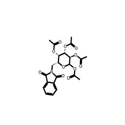 CC(=O)OC1O[C@H](CN2C(=O)c3ccccc3C2=O)[C@H](OC(C)=O)[C@H](OC(C)=O)[C@H]1OC(C)=O